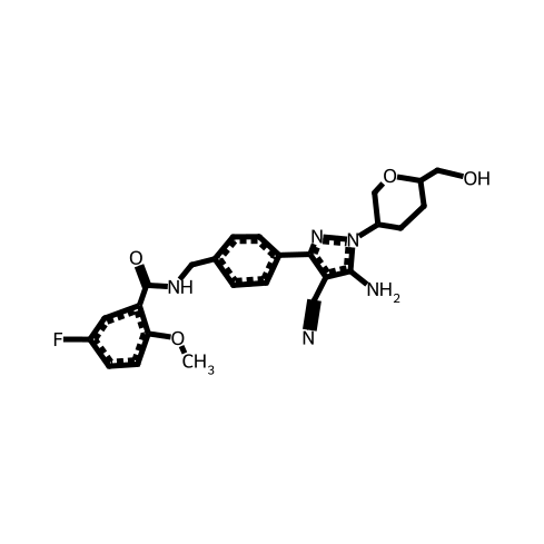 COc1ccc(F)cc1C(=O)NCc1ccc(-c2nn(C3CCC(CO)OC3)c(N)c2C#N)cc1